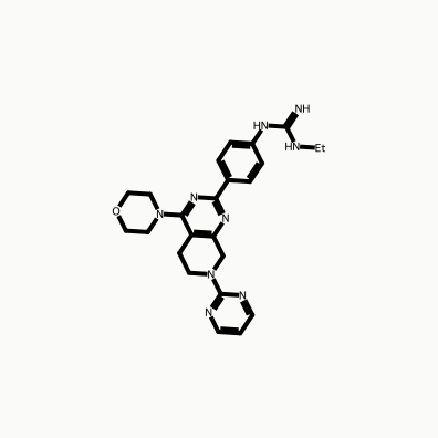 CCNC(=N)Nc1ccc(-c2nc3c(c(N4CCOCC4)n2)CCN(c2ncccn2)C3)cc1